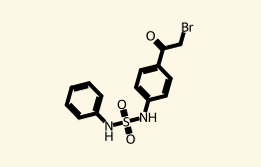 O=C(CBr)c1ccc(NS(=O)(=O)Nc2ccccc2)cc1